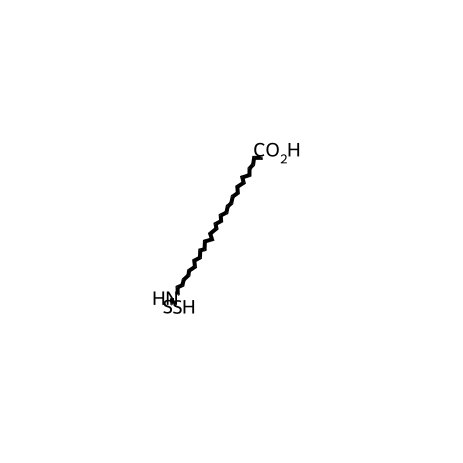 O=C(O)CCCCCCCCCCCCCCCCCCCCCCCCCCCCCCCNC(=S)S